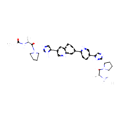 COC(=O)N[C@H](C(=O)N1CCC[C@H]1c1ncc(-c2cnc3cc(-c4ccc(-c5cnc([C@@H]6CCCN6C(=O)[C@H](C(C)C)N(C)C(=O)O)[nH]5)cn4)ccc3c2)[nH]1)C(C)C